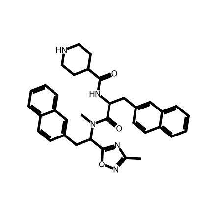 Cc1noc(C(Cc2ccc3ccccc3c2)N(C)C(=O)C(Cc2ccc3ccccc3c2)NC(=O)C2CCNCC2)n1